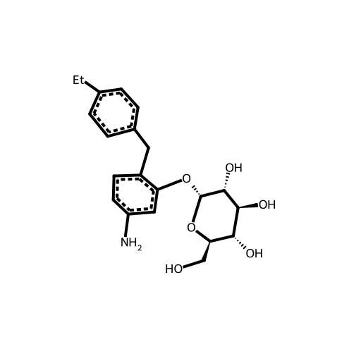 CCc1ccc(Cc2ccc(N)cc2O[C@H]2O[C@H](CO)[C@@H](O)[C@H](O)[C@H]2O)cc1